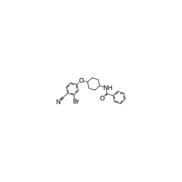 N#Cc1ccc(OC2CCC(NC(=O)c3ccccc3)CC2)cc1Br